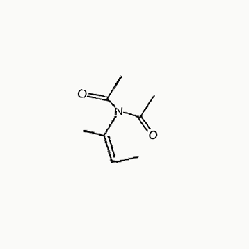 CC=C(C)N(C(C)=O)C(C)=O